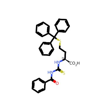 O=C(NC(=S)N[C@@H](CCSC(c1ccccc1)(c1ccccc1)c1ccccc1)C(=O)O)c1ccccc1